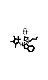 CCCC[Si]1(C2[C]([Hf+2][C]3=C(C)C(C)=C(C)C3(C)C)=Cc3ccccc32)CCC1.[Cl-].[Cl-]